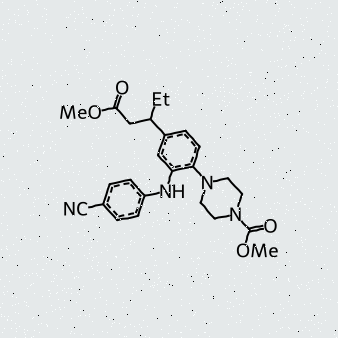 CCC(CC(=O)OC)c1ccc(N2CCN(C(=O)OC)CC2)c(Nc2ccc(C#N)cc2)c1